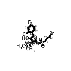 C[Si](C)(C)Oc1c(NS(=O)(=O)CCCBr)oc(-c2ccc(F)cc2Cl)c1O